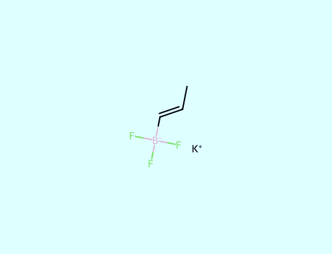 C/C=C/[B-](F)(F)F.[K+]